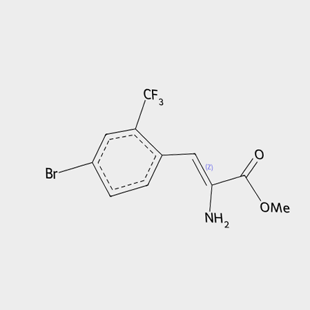 COC(=O)/C(N)=C/c1ccc(Br)cc1C(F)(F)F